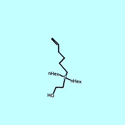 C=CCCCC[Si](CCO)(CCCCCC)CCCCCC